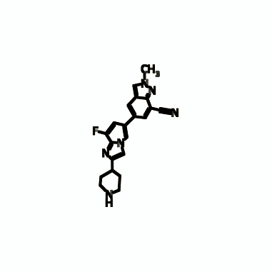 Cn1cc2cc(-c3cc(F)c4nc(C5CCNCC5)cn4c3)cc(C#N)c2n1